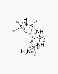 C[Si](C)(C)N[Si](C)(C)NS(C)(C)N[Si](C)(C)N